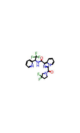 O=C(NC(c1ccccn1)C(F)(F)F)c1nc(C(=O)N2CCC(F)(F)C2)n2ccccc12